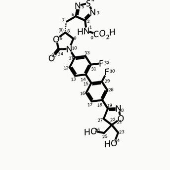 O=C(O)Nc1nsnc1C[C@@H]1CN(c2ccc(-c3ccc(C4=NOC(CO)(CO)C4)cc3F)c(F)c2)C(=O)O1